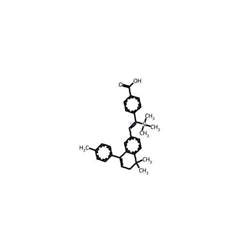 Cc1ccc(C2=CCC(C)(C)c3ccc(/C=C(/c4ccc(C(=O)O)cc4)[Si](C)(C)C)cc32)cc1